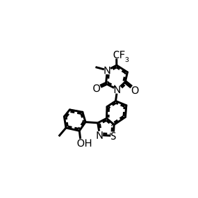 Cc1cccc(-c2nsc3ccc(-n4c(=O)cc(C(F)(F)F)n(C)c4=O)cc23)c1O